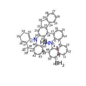 Bc1ccc(Nc2c(-c3ccccc3)cccc2-c2c3c(cc4c2-c2ccccc2C4)N2C4=CCCC=C4C(C)(C)c4cccc(c42)B3)c(C)c1